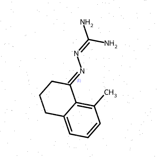 Cc1cccc2c1/C(=N/N=C(N)N)CCC2